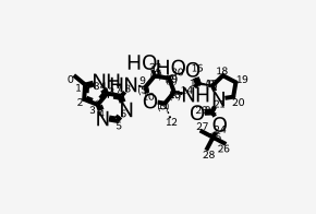 Cc1cc2ncnc(N[C@H]3O[C@@H](C)[C@H](NC(=O)[C@H]4CCCN4C(=O)OC(C)(C)C)[C@@H](O)[C@@H]3O)c2[nH]1